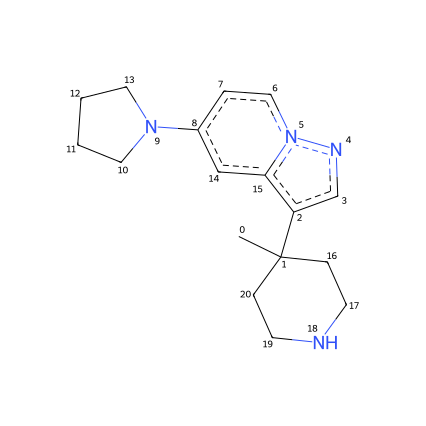 CC1(c2cnn3ccc(N4CCCC4)cc23)CCNCC1